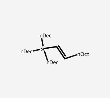 CCCCCCCCC=C[Si](CCCCCCCCCC)(CCCCCCCCCC)CCCCCCCCCC